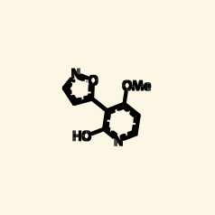 COc1ccnc(O)c1-c1ccno1